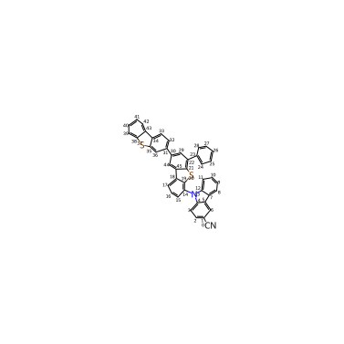 N#Cc1ccc2c(c1)c1ccccc1n2-c1cccc2c1sc1c(-c3ccccc3)cc(-c3ccc4c(c3)sc3ccccc34)cc12